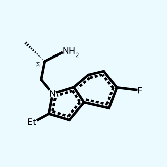 CCc1cc2cc(F)ccc2n1C[C@H](C)N